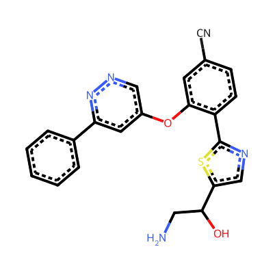 N#Cc1ccc(-c2ncc(C(O)CN)s2)c(Oc2cnnc(-c3ccccc3)c2)c1